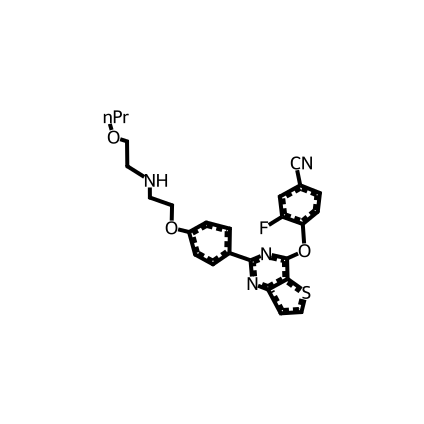 CCCOCCNCCOc1ccc(-c2nc(Oc3ccc(C#N)cc3F)c3sccc3n2)cc1